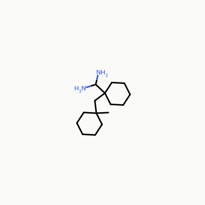 CC1(CC2(C(N)N)CCCCC2)CCCCC1